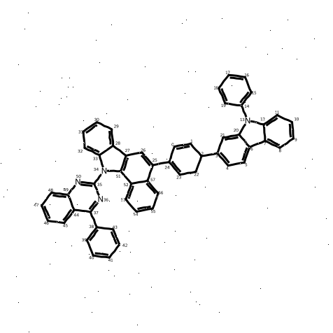 C1=CC(c2ccc3c4ccccc4n(-c4ccccc4)c3c2)CC=C1c1cc2c3ccccc3n(-c3nc(-c4ccccc4)c4ccccc4n3)c2c2ccccc12